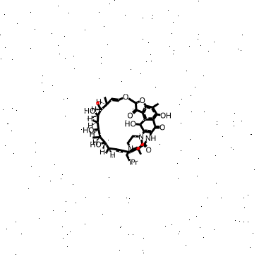 C/C1=C/C=C/[C@H](C)[C@H](O)[C@@H](C)[C@@H](O)[C@@H](C)[C@H](O)[C@H](C)[C@@H](C)/C=C/O[C@@]2(C)Oc3c(C)c(O)c4c(c3C2=O)C(O)C(N2CCN(CC(C)C)CC2)=C(NC1=O)C4=O